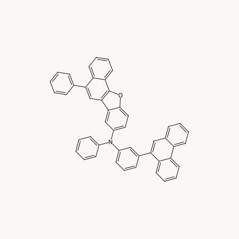 c1ccc(-c2cc3c4cc(N(c5ccccc5)c5cccc(-c6cc7ccccc7c7ccccc67)c5)ccc4oc3c3ccccc23)cc1